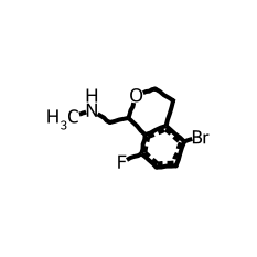 CNCC1OCCc2c(Br)ccc(F)c21